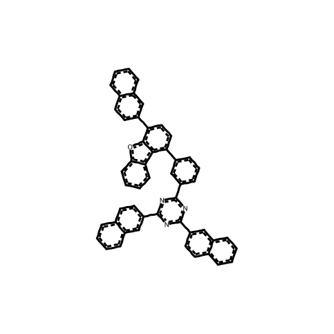 c1cc(-c2nc(-c3ccc4ccccc4c3)nc(-c3ccc4ccccc4c3)n2)cc(-c2ccc(-c3ccc4ccccc4c3)c3oc4ccccc4c23)c1